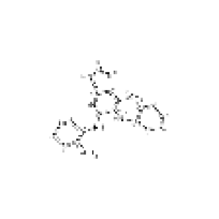 Cc1ccccc1Nc1nc2nonc2nc1Nc1ccccc1C